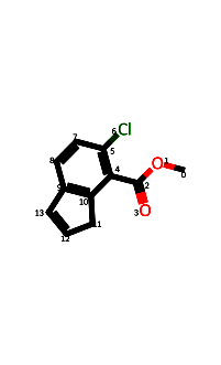 COC(=O)c1c(Cl)ccc2c1CC=C2